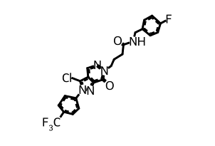 O=C(CCCn1ncc2c(Cl)n(-c3ccc(C(F)(F)F)cc3)nc2c1=O)NCc1ccc(F)cc1